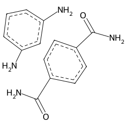 NC(=O)c1ccc(C(N)=O)cc1.Nc1cccc(N)c1